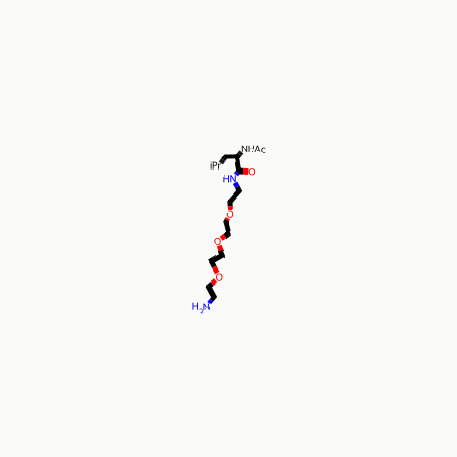 CC(=O)NC(CC(C)C)C(=O)NCCOCCOCCOCCN